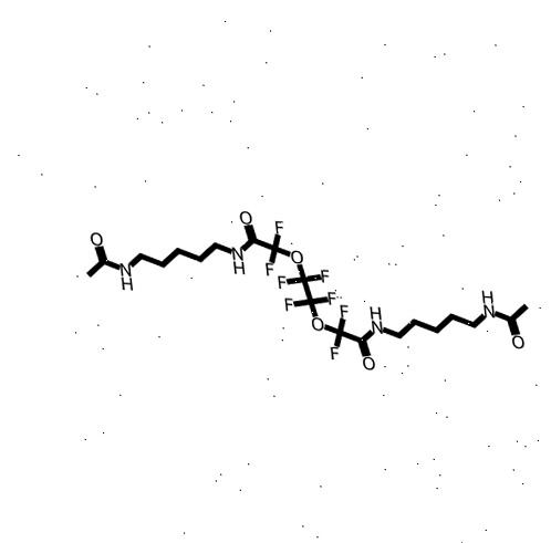 CC(=O)NCCCCCNC(=O)C(F)(F)OC(F)(F)C(F)(F)OC(F)(F)C(=O)NCCCCCNC(C)=O